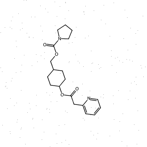 O=C(Cc1ccccn1)OC1CCC(COC(=O)N2CCCC2)CC1